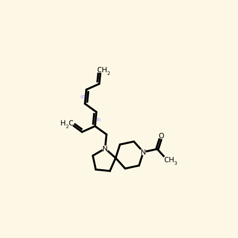 C=C/C=C\C=C(/C=C)CN1CCCC12CCN(C(C)=O)CC2